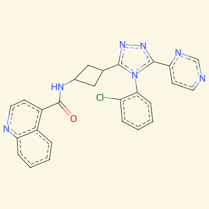 O=C(NC1CC(c2nnc(-c3ccncn3)n2-c2ccccc2Cl)C1)c1ccnc2ccccc12